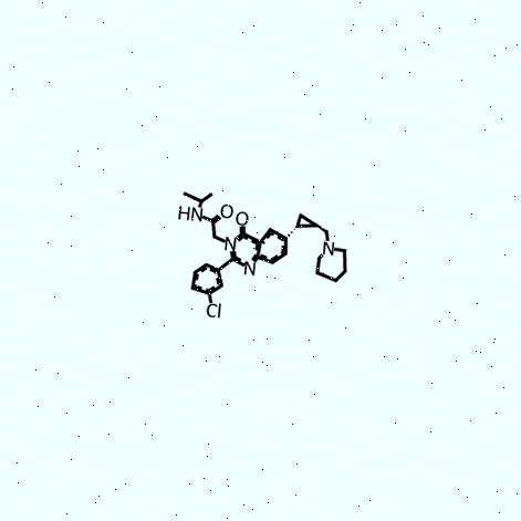 CC(C)NC(=O)Cn1c(-c2cccc(Cl)c2)nc2ccc([C@@H]3C[C@H]3CN3CCCCC3)cc2c1=O